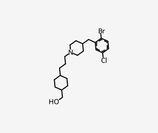 OCC1CCC(CCCN2CCC(Cc3cc(Cl)ccc3Br)CC2)CC1